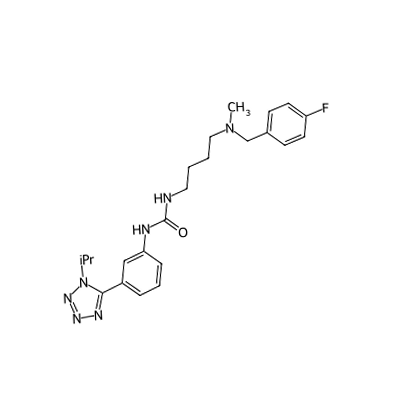 CC(C)n1nnnc1-c1cccc(NC(=O)NCCCCN(C)Cc2ccc(F)cc2)c1